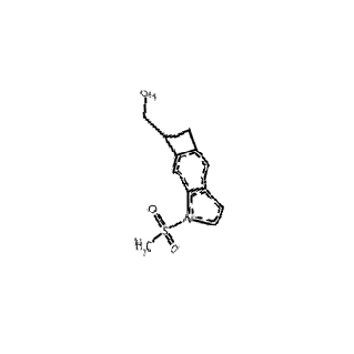 CS(=O)(=O)n1ccc2cc3c(cc21)C(CO)C3